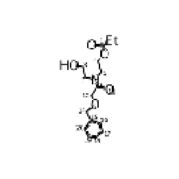 CCC(=O)OCCN(CCO)C(=O)COCc1ccccc1